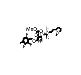 COC(=O)Oc1c(OCc2c(F)cc(C)c(F)c2F)nsc1NC(=O)NCCC1CCCN1C